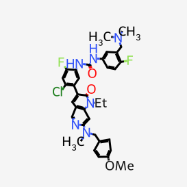 CCn1c(=O)c(-c2cc(NC(=O)Nc3ccc(F)c(CN(C)C)c3)c(F)cc2Cl)cc2cnc(N(C)Cc3ccc(OC)cc3)cc21